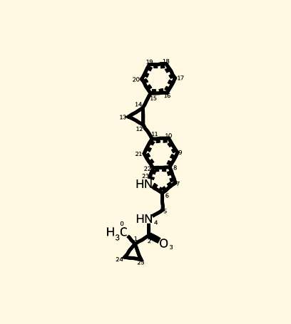 CC1(C(=O)NCc2cc3ccc(C4CC4c4ccccc4)cc3[nH]2)CC1